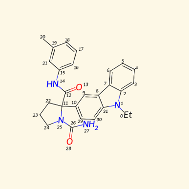 CCn1c2ccccc2c2cc(C3(C(=O)Nc4cccc(C)c4)CCCN3C(N)=O)ccc21